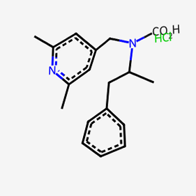 Cc1cc(CN(C(=O)O)C(C)Cc2ccccc2)cc(C)n1.Cl